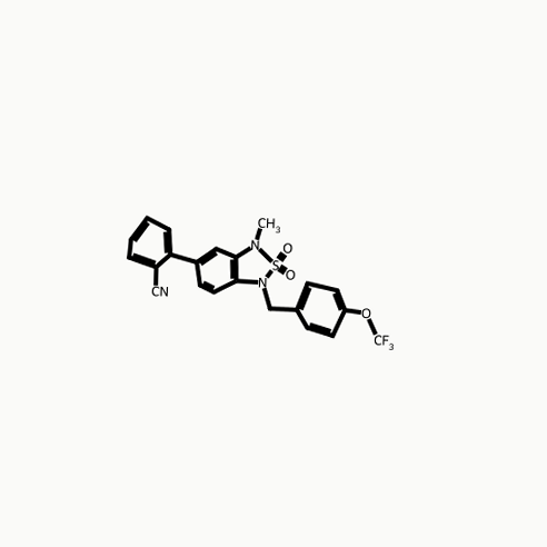 CN1c2cc(-c3ccccc3C#N)ccc2N(Cc2ccc(OC(F)(F)F)cc2)S1(=O)=O